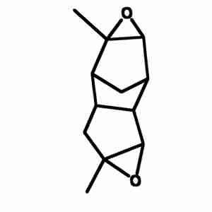 CC12CC3C(C4CC3C3(C)OC43)C1O2